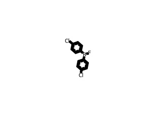 FB(c1ccc(Cl)cc1)c1ccc(Cl)cc1